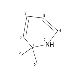 [CH2]C1(C)C=CC=CN1